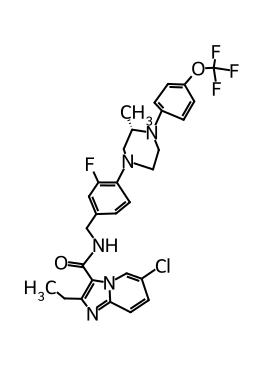 CCc1nc2ccc(Cl)cn2c1C(=O)NCc1ccc(N2CCN(c3ccc(OC(F)(F)F)cc3)[C@@H](C)C2)c(F)c1